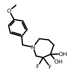 COc1ccc(CN2CCCC(O)(O)C(F)(F)C2)cc1